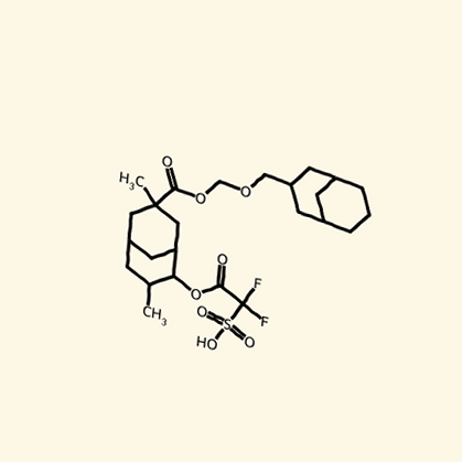 CC1CC2CC(CC(C)(C(=O)OCOCC3CC4CCCC(C4)C3)C2)C1OC(=O)C(F)(F)S(=O)(=O)O